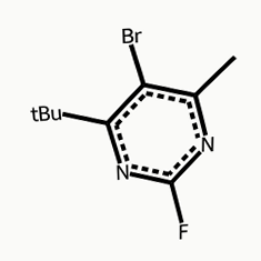 Cc1nc(F)nc(C(C)(C)C)c1Br